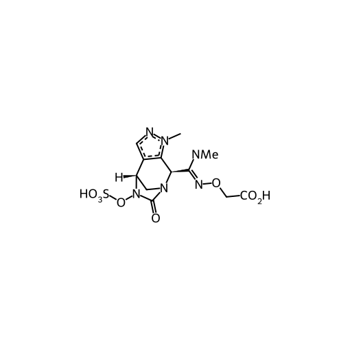 CN/C(=N\OCC(=O)O)[C@@H]1c2c(cnn2C)[C@@H]2CN1C(=O)N2OS(=O)(=O)O